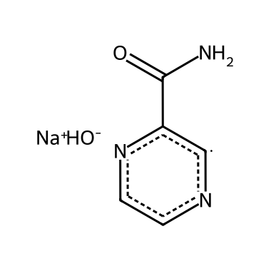 NC(=O)c1[c]nccn1.[Na+].[OH-]